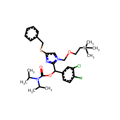 CC(C)N(C(=O)OC(c1ccc(F)c(Cl)c1)c1nc(SCc2ccccc2)cn1COCC[Si](C)(C)C)C(C)C